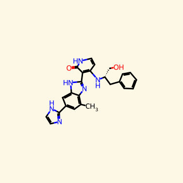 Cc1cc(-c2ncc[nH]2)cc2[nH]c(-c3c(N[C@H](CO)Cc4ccccc4)cc[nH]c3=O)nc12